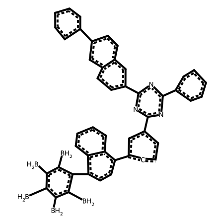 Bc1c(B)c(B)c(-c2ccc(-c3cccc(-c4nc(-c5ccccc5)nc(-c5ccc6cc(-c7ccccc7)ccc6c5)n4)c3)c3ccccc23)c(B)c1B